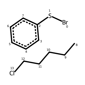 BrSc1ccccc1.CCCCCCl